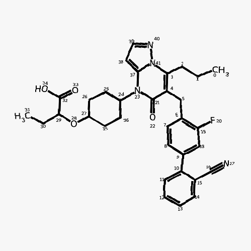 CCCc1c(Cc2ccc(-c3ccccc3C#N)cc2F)c(=O)n(C2CCC(OC(CC)C(=O)O)CC2)c2ccnn12